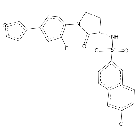 O=C1[C@@H](NS(=O)(=O)c2ccc3cc(Cl)ccc3c2)CCN1c1ccc(-c2ccsc2)cc1F